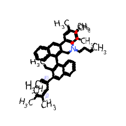 C=C(C)/C(C)=C\C(=C/C)c1cc2ccccc2c(-c2c(CN(CCCC)CCCC)c(-c3cc(C)c(C)c(C)c3)cc3ccccc23)c1CC